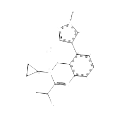 CC(N)C1=Nc2cccc(-c3cnn(C)c3)c2[C@@H](C=O)N1C1CC1